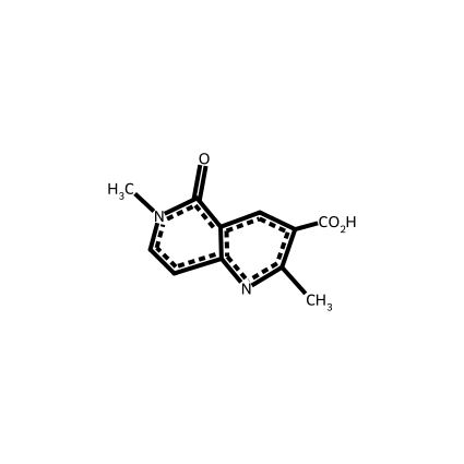 Cc1nc2ccn(C)c(=O)c2cc1C(=O)O